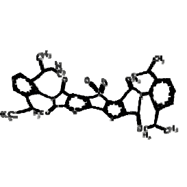 CC(C)c1cccc(C(C)C)c1N1C(=O)c2sc3c(c2C1=O)S(=O)(=O)c1c-3sc2c1C(=O)N(c1c(C(C)C)cccc1C(C)C)C2=O